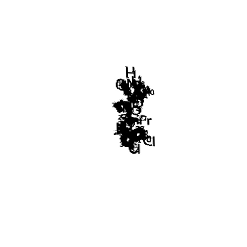 CC(C)C1=C(C(=O)N2CCC[C@H]2C(=O)N2CC(=O)N[C@H]3CN(C)C[C@@H]32)SC2=N[C@@](C)(c3ccc(Cl)cc3)[C@@H](c3ccc(Cl)cc3)N21